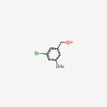 CC(=O)Oc1cc(Br)cc([CH]O)c1